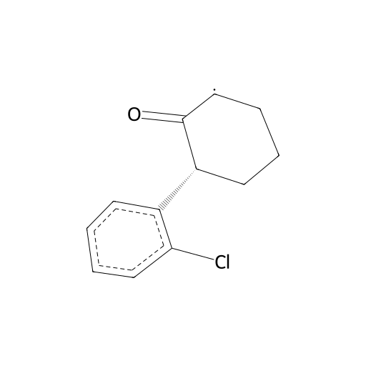 O=C1[CH]CCC[C@@H]1c1ccccc1Cl